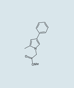 COC(=O)Cn1cc(-c2ccccc2)cc1C